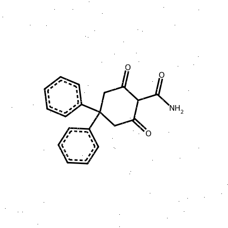 NC(=O)C1C(=O)CC(c2ccccc2)(c2ccccc2)CC1=O